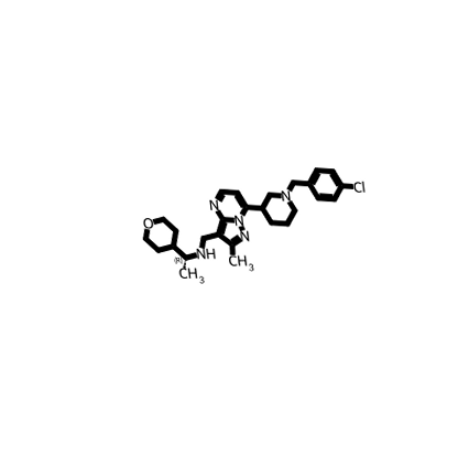 Cc1nn2c(C3CCCN(Cc4ccc(Cl)cc4)C3)ccnc2c1CN[C@H](C)C1CCOCC1